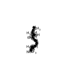 Cc1ncsc1-c1ccc([C@H](C)NC(=O)[C@@H]2C[C@@H](O)CN2C(=O)[C@@H](NC(=O)COc2ccc(Oc3ccc(Oc4ccc(N5C(=S)N(c6ccc(C#N)c(C(F)(F)F)c6)C(=O)C5(C)C)cc4)cc3)nc2)C(C)(C)C)cc1